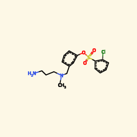 CN(CCCN)Cc1cccc(OS(=O)(=O)c2ccccc2Cl)c1